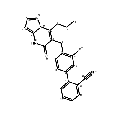 CCCc1c(Cc2ccc(-c3ccccc3C#N)cc2F)c(=O)[nH]c2ncnn12